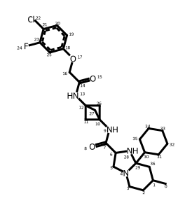 CC1CCN2CC(C(=O)NC34CC(NC(=O)COc5ccc(Cl)c(F)c5)(C3)C4)NC2(C2CCCCC2)C1